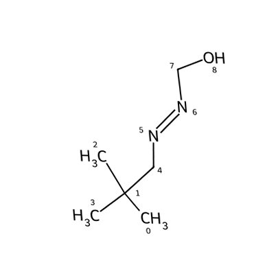 CC(C)(C)C/N=N/CO